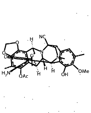 COc1c(C)cc2c(c1O)[C@H]1[C@@H]3[C@@H]4SC[C@H](N)C(=O)OC[C@@H](c5c6c(c(C)c(OC(C)=O)c54)OCO6)N3C(C#N)(C2)CN1C